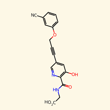 N#Cc1cccc(OCC#Cc2cnc(C(=O)NCC(=O)O)c(O)c2)c1